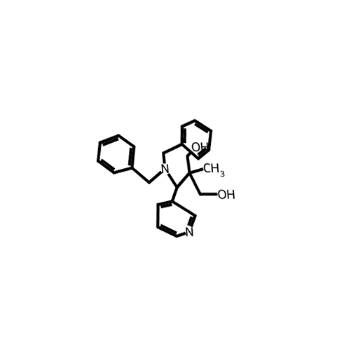 CC(CO)(CO)C(c1cccnc1)N(Cc1ccccc1)Cc1ccccc1